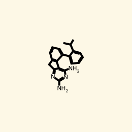 CC(C)c1ccccc1-c1cccc2c1-c1c(N)nc(N)nc1C2